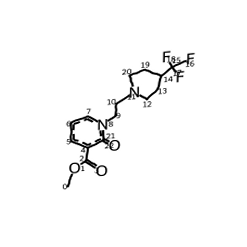 COC(=O)c1cccn(CCN2CCC(C(F)(F)F)CC2)c1=O